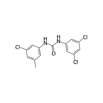 Cc1cc(Cl)cc(NC(=O)Nc2cc(Cl)cc(Cl)c2)c1